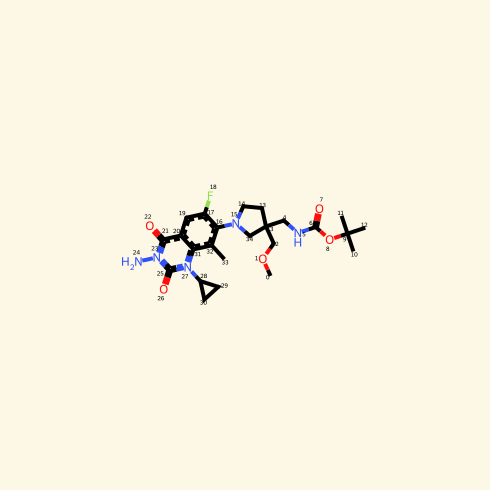 COCC1(CNC(=O)OC(C)(C)C)CCN(c2c(F)cc3c(=O)n(N)c(=O)n(C4CC4)c3c2C)C1